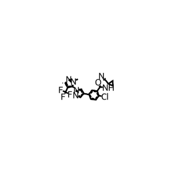 Cn1n[c]c(C(F)(F)F)c1-n1cc(-c2ccc(Cl)c(C(=O)NC3(C#N)CC3)c2)cn1